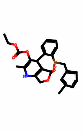 CCOC(=O)OC1=C(C)NC2=C(C(=O)OC2)C1c1ccccc1[S+]([O-])Cc1cccc(C)c1